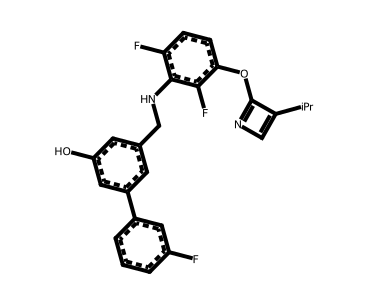 CC(C)C1=CN=C1Oc1ccc(F)c(NCc2cc(O)cc(-c3cccc(F)c3)c2)c1F